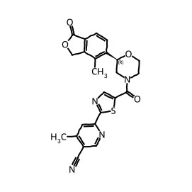 Cc1cc(-c2ncc(C(=O)N3CCO[C@H](c4ccc5c(c4C)COC5=O)C3)s2)ncc1C#N